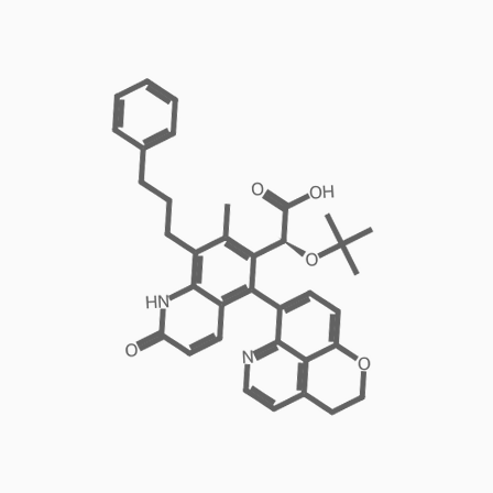 Cc1c([C@H](OC(C)(C)C)C(=O)O)c(-c2ccc3c4c(ccnc24)CCO3)c2ccc(=O)[nH]c2c1CCCc1ccccc1